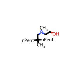 CCCCCC(C)(CCCCC)CN(C)CCO